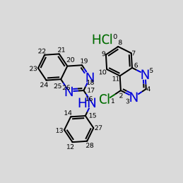 Cl.Clc1ncnc2ccccc12.c1ccc(Nc2ncc3ccccc3n2)cc1